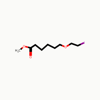 COC(=O)CCCCCOCCI